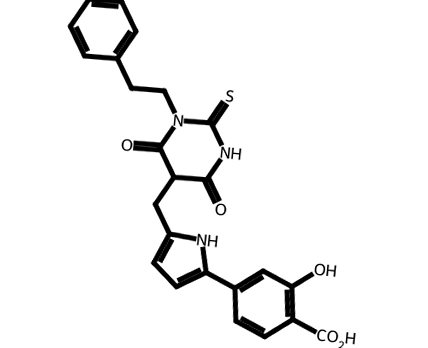 O=C(O)c1ccc(-c2ccc(CC3C(=O)NC(=S)N(CCc4ccccc4)C3=O)[nH]2)cc1O